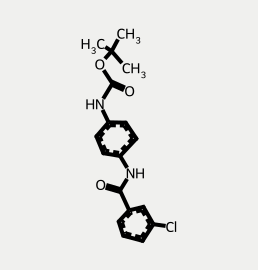 CC(C)(C)OC(=O)Nc1ccc(NC(=O)c2cccc(Cl)c2)cc1